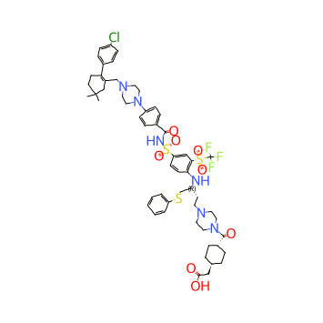 CC1(C)CCC(c2ccc(Cl)cc2)=C(CN2CCN(c3ccc(C(=O)NS(=O)(=O)c4ccc(N[C@H](CCN5CCN(C(=O)[C@H]6CC[C@H](CC(=O)O)CC6)CC5)CSc5ccccc5)c(S(=O)(=O)C(F)(F)F)c4)cc3)CC2)C1